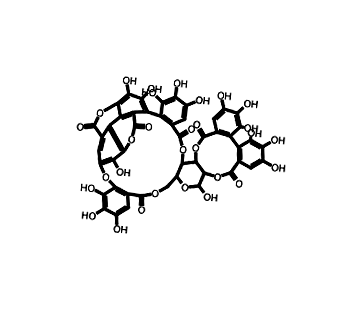 O=C1OCC2OC(O)C3OC(=O)c4cc(O)c(O)c(O)c4-c4c(cc(O)c(O)c4O)C(=O)OC3C2OC(=O)c2cc(O)c(O)c(O)c2-c2c(O)c(O)c3oc(=O)c4cc(c(O)c5oc(=O)c2c3c54)Oc2c1cc(O)c(O)c2O